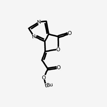 CC(C)(C)OC(=O)/C=C1\OC(=O)c2cncnc21